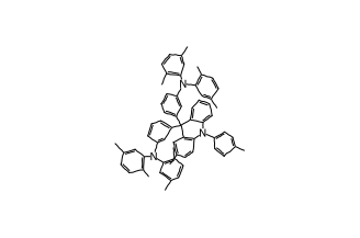 Cc1ccc(N2c3ccccc3C(c3cccc(N(c4cc(C)ccc4C)c4cc(C)ccc4C)c3)(c3cccc(N(c4cc(C)ccc4C)c4cc(C)ccc4C)c3)c3cc(C)ccc32)cc1